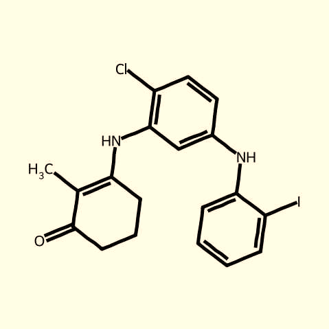 CC1=C(Nc2cc(Nc3ccccc3I)ccc2Cl)CCCC1=O